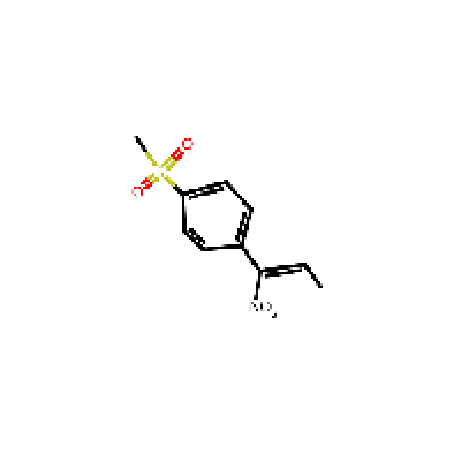 CC=C(c1ccc(S(C)(=O)=O)cc1)[N+](=O)[O-]